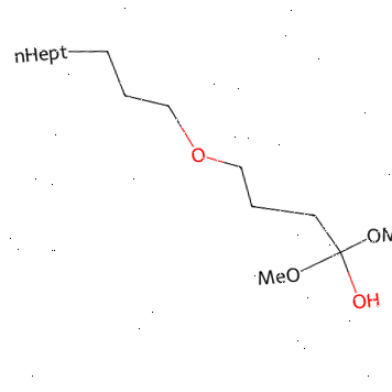 CCCCCCCCCCOCCCC(O)(OC)OC